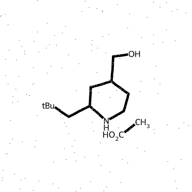 CC(=O)O.CC(C)(C)CC1CC(CO)CCN1